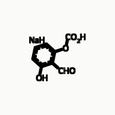 O=Cc1c(O)cccc1OC(=O)O.[NaH]